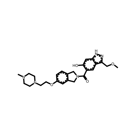 COCc1n[nH]c2cc(O)c(C(=O)N3Cc4ccc(OCCN5CCN(C)CC5)cc4C3)cc12